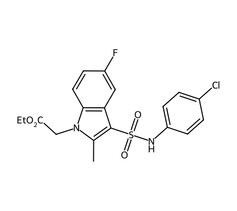 CCOC(=O)Cn1c(C)c(S(=O)(=O)Nc2ccc(Cl)cc2)c2cc(F)ccc21